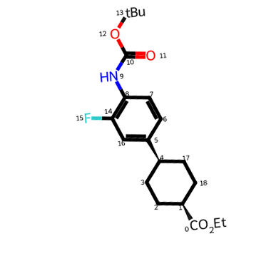 CCOC(=O)[C@H]1CC[C@@H](c2ccc(NC(=O)OC(C)(C)C)c(F)c2)CC1